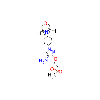 CS(=O)(=O)CCOc1nn(C2CCC(N3[C@@H]4CC[C@H]3COC4)CC2)cc1N